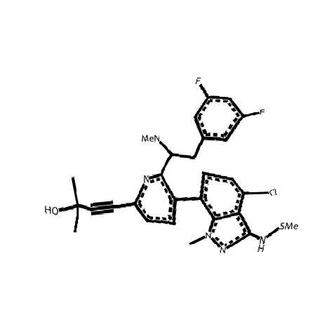 CNC(Cc1cc(F)cc(F)c1)c1nc(C#CC(C)(C)O)ccc1-c1ccc(Cl)c2c(NSC)nn(C)c12